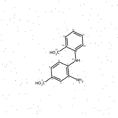 Nc1cc(C(=O)O)ccc1Nc1ccccc1C(=O)O